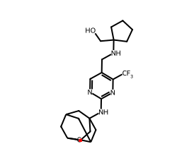 OCC1(NCc2cnc(NC34CCC5CC(CC(C5)C3)C4)nc2C(F)(F)F)CCCC1